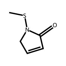 CSN1CC=CC1=O